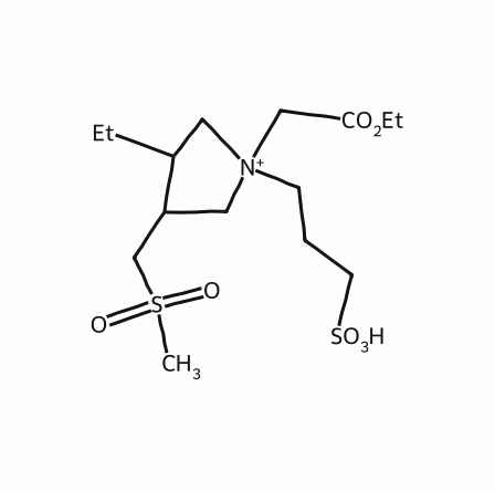 CCOC(=O)C[N+]1(CCCS(=O)(=O)O)CC(CC)C(CS(C)(=O)=O)C1